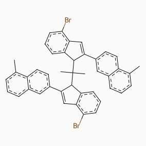 Cc1cccc2cc(C3=Cc4c(Br)cccc4C3C(C)(C)C3C(c4ccc5c(C)cccc5c4)=Cc4c(Br)cccc43)ccc12